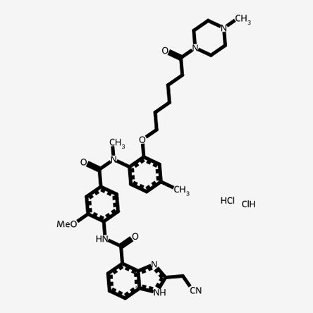 COc1cc(C(=O)N(C)c2ccc(C)cc2OCCCCCC(=O)N2CCN(C)CC2)ccc1NC(=O)c1cccc2[nH]c(CC#N)nc12.Cl.Cl